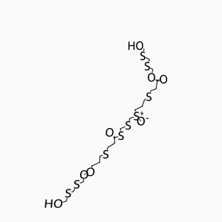 O=C(CCSCCC[S+]([O-])CSCSC(=O)CCSCCCOOCSCSCO)OCSCSCO